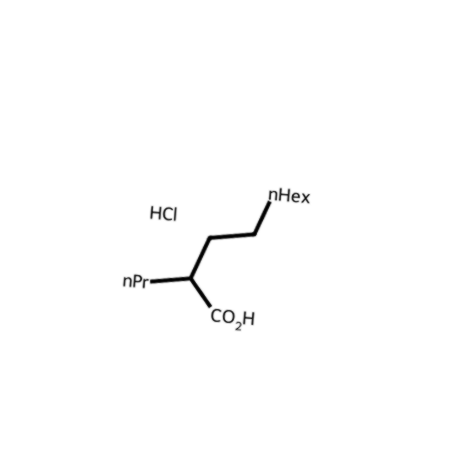 CCCCCCCCC(CCC)C(=O)O.Cl